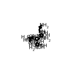 CCC(O)(NC(=N)N)C(=O)N[C@@H]1C[C@H](N)C(O[C@H]2O[C@H](CNCC3CC(N)C3)[C@@H](O)[C@H](O)[C@H]2N)[C@H](O)[C@H]1O[C@H]1O[C@H](CO)[C@@H](O)[C@H](N)[C@H]1O